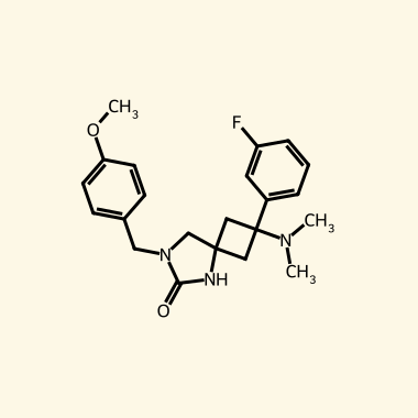 COc1ccc(CN2CC3(CC(c4cccc(F)c4)(N(C)C)C3)NC2=O)cc1